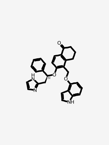 O=C1CCCc2c1ccc(O[C@@H](Cc1ncc[nH]1)c1ccccc1)c2COc1cccc2[nH]ccc12